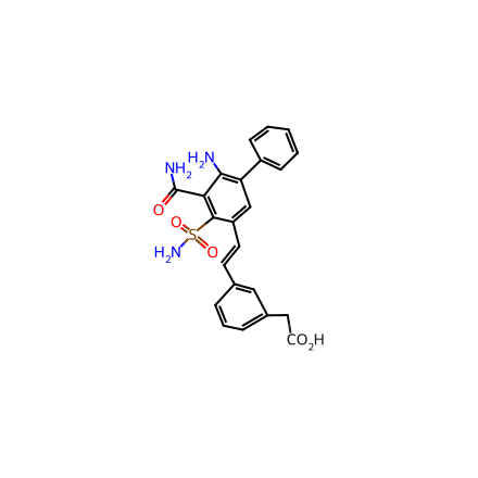 NC(=O)c1c(N)c(-c2ccccc2)cc(/C=C/c2cccc(CC(=O)O)c2)c1S(N)(=O)=O